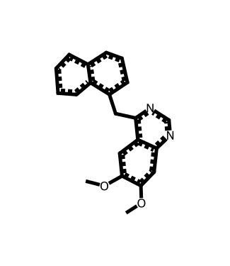 COc1cc2ncnc(Cc3cccc4ccccc34)c2cc1OC